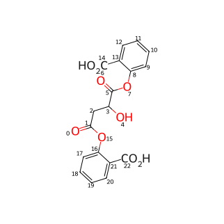 O=C(CC(O)C(=O)Oc1ccccc1C(=O)O)Oc1ccccc1C(=O)O